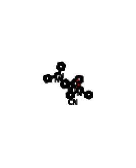 N#Cc1ccc(-n2c3ccccc3c3cc(-c4nc(-c5ccccc5)cc(-c5ccccc5)n4)ccc32)c(-c2nc(-c3ccccc3)cc(-c3ccccc3)n2)c1